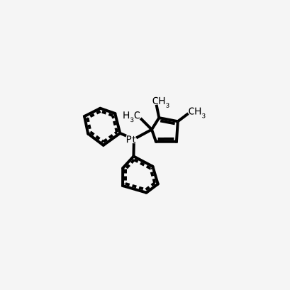 CC1=C(C)[C](C)([Pt]([c]2ccccc2)[c]2ccccc2)C=C1